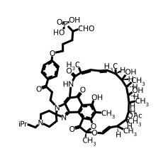 CC(=O)O[C@H]1[C@H](C)[C@H](O)[C@H](C)[C@@H](O)[C@@H](C)/C=C/C=C(/C)C(=O)NC2=C3C(=NC4(CCN(CC(C)C)CC4)N3CCC(=O)c3ccc(OCCCC(C=O)P(=O)(O)O)cc3)c3c(c(O)c(C)c4c3C(=O)[C@@](C)(O/C=C/[C@H](C)[C@H]1C)O4)C2=O